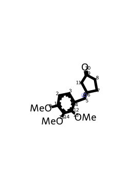 COc1ccc(/C=C2/CCC(=O)C2)c(OC)c1OC